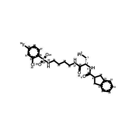 CC(C)C[C@H](NC(=O)C1Cc2ccccc2C1)C(=O)NCCCCNS(=O)(=O)c1ccc(F)cc1Cl